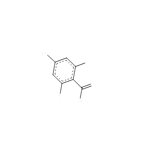 O=C(O)c1c(F)cc(Br)cc1Cl